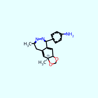 CC1=NN=C(c2ccc(N)cc2)C2=CC3OCO[C@@]3(C)C=C2C1